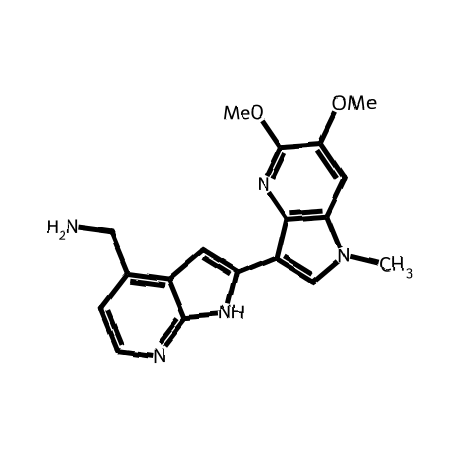 COc1cc2c(nc1OC)c(-c1cc3c(CN)ccnc3[nH]1)cn2C